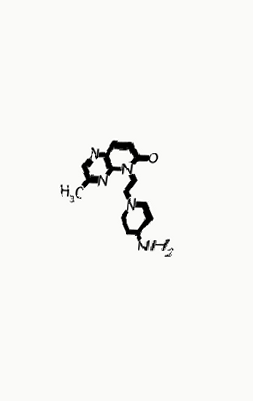 Cc1cnc2ccc(=O)n(CCN3CCC(N)CC3)c2n1